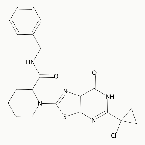 O=C(NCc1ccccc1)C1CCCCN1c1nc2c(=O)[nH]c(C3(Cl)CC3)nc2s1